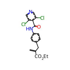 C=C(Cc1ccc(NC(=O)c2c(Cl)cncc2Cl)cc1)C(=O)OCC